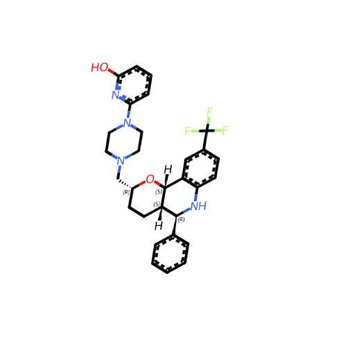 Oc1cccc(N2CCN(C[C@H]3CC[C@@H]4[C@H](O3)c3cc(C(F)(F)F)ccc3N[C@H]4c3ccccc3)CC2)n1